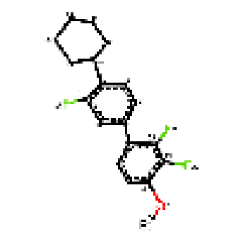 CCOc1ccc(-c2ccc(C3CCCCC3)c(F)c2)c(F)c1F